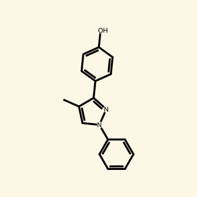 Cc1cn(-c2ccccc2)nc1-c1ccc(O)cc1